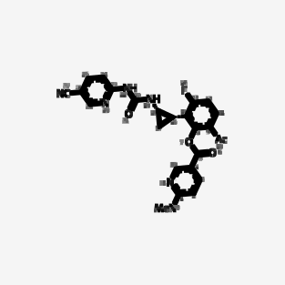 CNc1ccc(C(=O)Oc2c(C(C)=O)ccc(F)c2[C@@H]2C[C@@H]2NC(=O)Nc2ccc(C#N)cn2)cn1